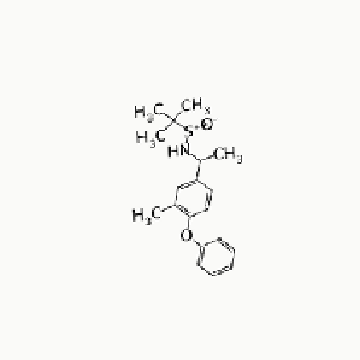 Cc1cc(C(C)N[S@+]([O-])C(C)(C)C)ccc1Oc1ccccc1